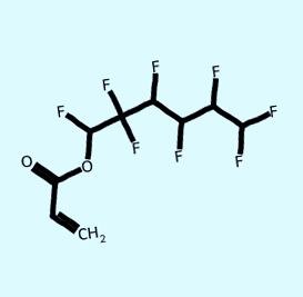 C=CC(=O)OC(F)C(F)(F)C(F)C(F)C(F)C(F)F